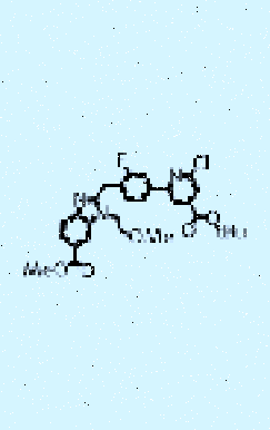 COCCn1c(Cc2ccc(-c3cc(C(=O)OC(C)(C)C)cc(Cl)n3)cc2F)nc2ccc(C(=O)OC)cc21